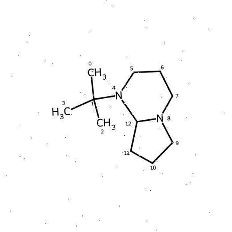 CC(C)(C)N1CCCN2CCCC21